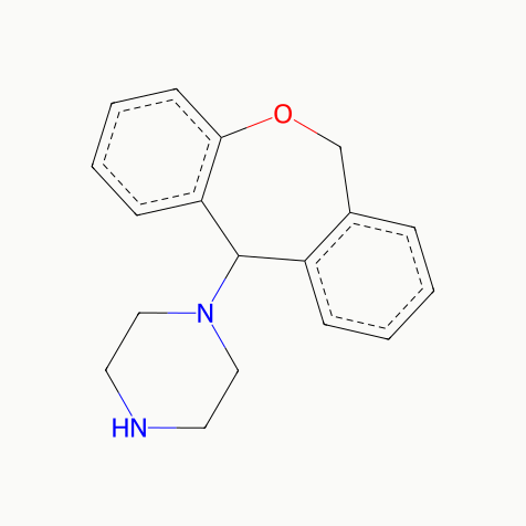 c1ccc2c(c1)COc1ccccc1C2N1CCNCC1